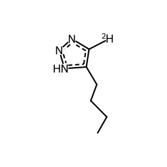 [2H]c1nn[nH]c1CCCC